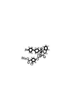 COC(=O)c1ccc(OCCNC(=O)[C@@H]2Cc3ccccc3N2S(=O)(=O)c2ccc(-c3ccc(F)cc3)cc2)cc1Cl